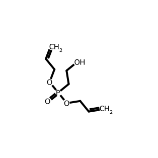 C=CCOP(=O)(CCO)OCC=C